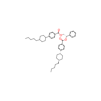 CCCCCC1CCC(c2ccc(C(=O)OC[C@@H](OC(=O)c3ccc([C@H]4CC[C@H](CCCCC)CC4)cc3)c3ccccc3)cc2)CC1